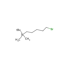 CC(C)(C)[Si](C)(C)CCCCCBr